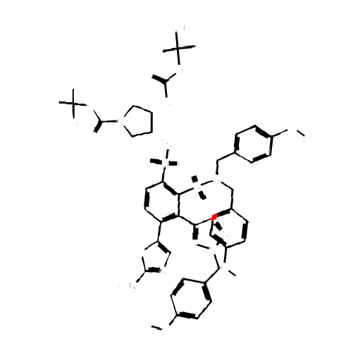 COc1ccc(CN(Cc2ccc(OC)cc2)S(=O)(=O)c2c(S(=O)(=O)N[C@@H]3CN(C(=O)OC(C)(C)C)C[C@@H]3NC(=O)OC(C)(C)C)ccc(-c3cnc(N)s3)c2-c2nnn(Cc3ccc(OC)cc3)n2)cc1